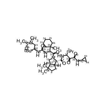 CCCC(NC(=O)[C@@H]1[C@H]2CCC(C)(C)[C@H]2CN1C(=O)[C@@H](NC(=O)N[C@H](CN(C)[S+](C)[O-])C(C)(C)C)C1(C)CCCCC1)C(=O)C(=O)NC1CC1